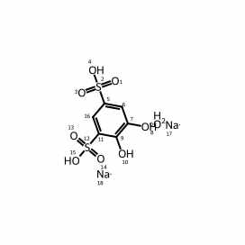 O.O=S(=O)(O)c1cc(O)c(O)c(S(=O)(=O)O)c1.[Na].[Na]